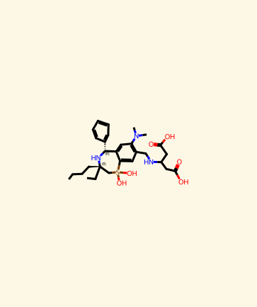 CCCC[C@]1(CC)CS(O)(O)c2cc(CNC(CC(=O)O)CC(=O)O)c(N(C)C)cc2[C@@H](c2ccccc2)N1